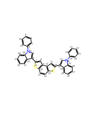 c1ccc(-n2cc(-c3cc4c(ccc5sc(-c6cn(-c7ccccc7)c7ccccc67)cc54)s3)c3ccccc32)cc1